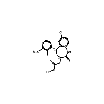 COc1cccc([C@H]2S[C@H](CC(=O)OC(C)C)C(=S)Nc3ccc(Cl)cc32)c1C